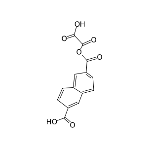 O=C(O)C(=O)OC(=O)c1ccc2cc(C(=O)O)ccc2c1